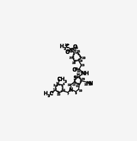 Cc1cc(C)cc(CN2CCc3c(sc(NC(=O)Cc4ccc(S(C)(=O)=O)cc4)c3C#N)C2)c1